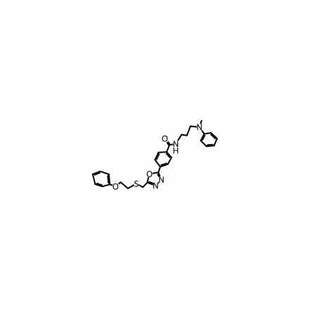 CN(CCCNC(=O)c1ccc(-c2nnc(CSCCOc3ccccc3)o2)cc1)c1ccccc1